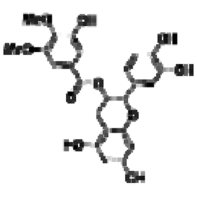 COc1cc(C(=O)OC2Cc3c(O)cc(O)cc3OC2c2ccc(O)c(O)c2)cc(O)c1OC